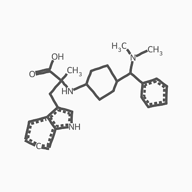 CN(C)C(c1ccccc1)C1CCC(NC(C)(Cc2c[nH]c3ccccc23)C(=O)O)CC1